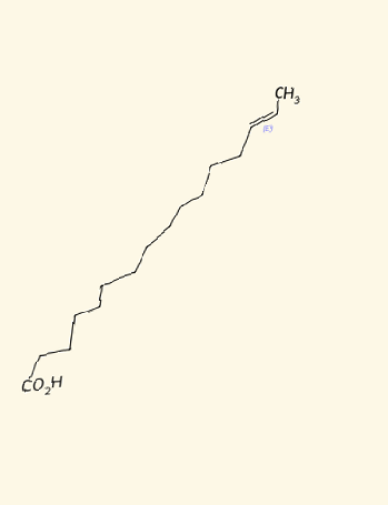 C/C=C/CCCCCCCCCCCCC(=O)O